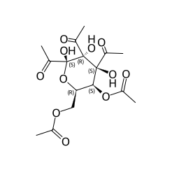 CC(=O)OC[C@H]1O[C@](O)(C(C)=O)[C@@](O)(C(C)=O)[C@](O)(C(C)=O)[C@H]1OC(C)=O